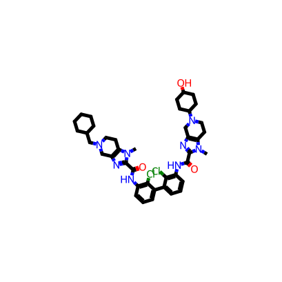 Cn1c(C(=O)Nc2cccc(-c3cccc(NC(=O)c4nc5c(n4C)CCN(C4CCC(O)CC4)C5)c3Cl)c2Cl)nc2c1CCN(CC1CCCCC1)C2